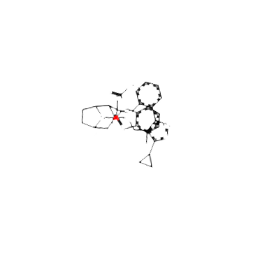 O=C(O)[SH]1C(N2[C@@H]3CC[C@H]2C[C@@H](OCc2c(-c4ccccc4OC(F)(F)F)noc2C2CC2)C3)=Nc2c(F)cccc21